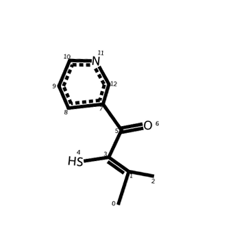 CC(C)=C(S)C(=O)c1cccnc1